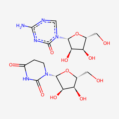 Nc1ncn([C@@H]2O[C@H](CO)[C@@H](O)[C@H]2O)c(=O)n1.O=C1CCN([C@@H]2O[C@H](CO)[C@@H](O)[C@H]2O)C(=O)N1